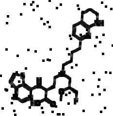 CO[C@H](CF)CN(CCCCc1ccc2c(n1)NCCC2)CC[C@H](Nc1ncnc2ccsc12)C(=O)O